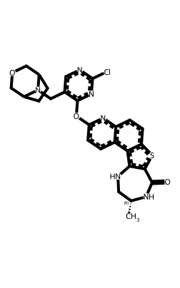 C[C@@H]1CNc2c(sc3ccc4nc(Oc5nc(Cl)ncc5CN5C6CCC5COC6)ccc4c23)C(=O)N1